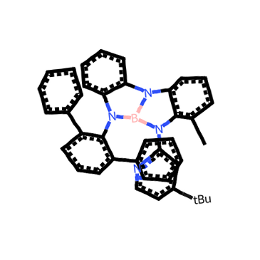 Cc1cccc2c1N(c1cc(C(C)(C)C)ccn1)B1N2c2ccccc2N1c1c(-c2ccccc2)cccc1-c1ccccc1